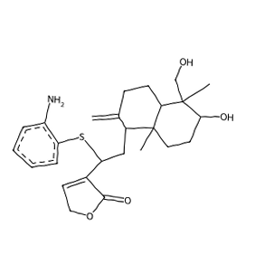 C=C1CCC2C(C)(CO)C(O)CCC2(C)C1CC(Sc1ccccc1N)C1=CCOC1=O